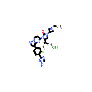 CCN1CC(N2CC(C(C)C)N(c3ccn4ncc(-c5ccc(-c6nc[nH]n6)c(F)c5)c4n3)C2=O)C1.Cl